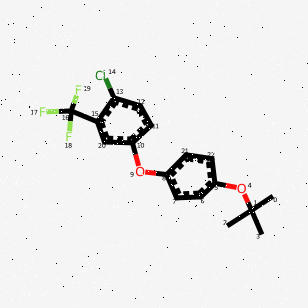 CC(C)(C)Oc1ccc(Oc2ccc(Cl)c(C(F)(F)F)c2)cc1